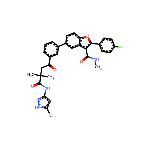 CNC(=O)c1c(-c2ccc(F)cc2)oc2ccc(-c3cccc(C(=O)CC(C)(C)C(=O)Nc4cc(C)[nH]n4)c3)cc12